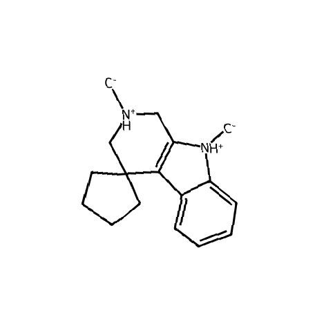 [CH2-][NH+]1CC2=C(c3ccccc3[NH+]2[CH2-])C2(CCCC2)C1